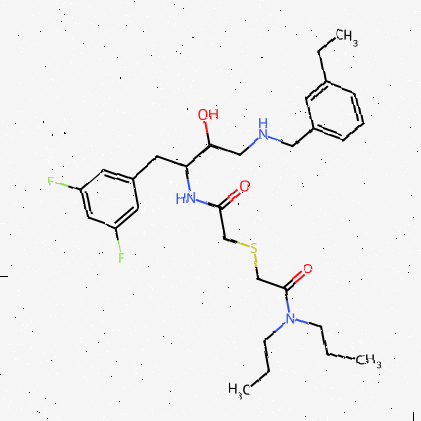 CCCN(CCC)C(=O)CSCC(=O)NC(Cc1cc(F)cc(F)c1)C(O)CNCc1cccc(CC)c1